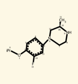 CC(C)Oc1ccc(N2CCN[C@H](C)C2)cc1F